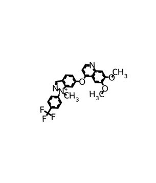 COc1cc2nccc(Oc3ccc4c(c3)[N+](C)(c3ccc(C(F)(F)F)cc3)N=C4)c2cc1OC